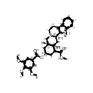 COC(=O)C1C[C@H](OC(=O)c2cc(OC)c(OC)c(OC)c2)C[C@@H]2CN3CCc4c([nH]c5ccccc45)[C@H]3C[C@H]12